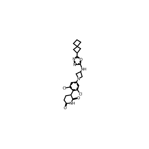 O=C1CCC(c2c(Cl)cc(N3CC(Nc4nnc(C5CC6(CCC6)C5)o4)C3)cc2Cl)C(=O)N1